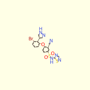 N#Cc1cc(S(=O)(=O)Nc2ncns2)ccc1Oc1cccc(Br)c1-c1cn[nH]c1